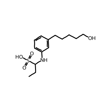 CCC(Nc1cccc(CCCCCO)c1)S(=O)(=O)O